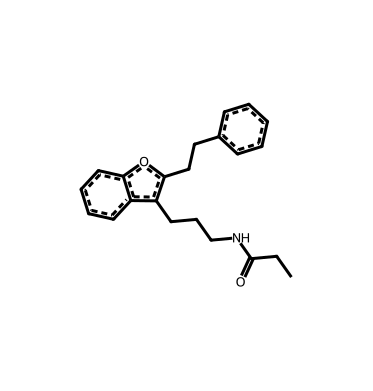 CCC(=O)NCCCc1c(CCc2ccccc2)oc2ccccc12